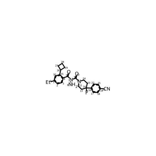 CCc1ccc(C(=O)N(N)C(=O)N2CCC(F)(c3ccc(C#N)cc3)CC2)c(C2CCC2)c1